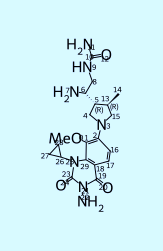 COc1c(N2C[C@H](C(N)CNC(N)=O)[C@@H](C)C2)ccc2c(=O)n(N)c(=O)n(C3CC3)c12